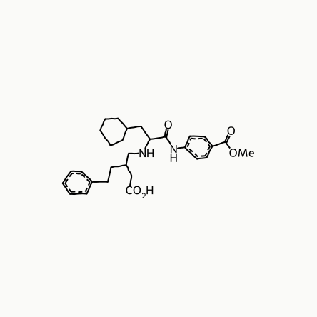 COC(=O)c1ccc(NC(=O)C(CC2CCCCC2)NCC(CCc2ccccc2)CC(=O)O)cc1